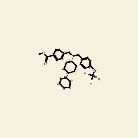 COC(=O)c1ccc(CN(Cc2ccc(OC(F)(F)F)cc2)[C@H]2CC[C@@H](C3CCCCC3)CC2)cc1